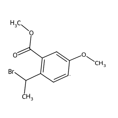 COC(=O)c1cc(OC)[c]cc1C(C)Br